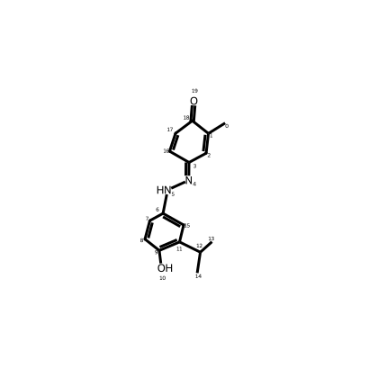 CC1=C/C(=N/Nc2ccc(O)c(C(C)C)c2)C=CC1=O